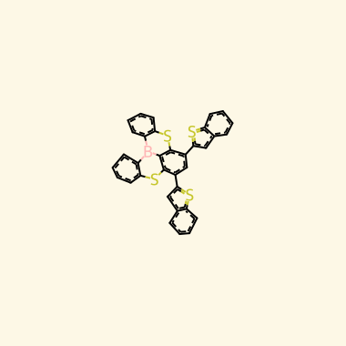 c1ccc2c(c1)Sc1c(-c3cc4ccccc4s3)cc(-c3cc4ccccc4s3)c3c1B2c1ccccc1S3